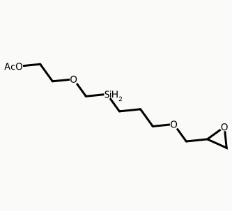 CC(=O)OCCOC[SiH2]CCCOCC1CO1